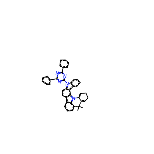 CC1(C)C2=CCCC=C2n2c3c1cccc3c1ccc3c(c4ccccc4n3-c3nc(-c4ccccc4)nc(-c4ccccc4)n3)c12